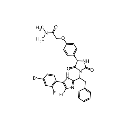 CCc1nc(C(Cc2ccccc2)N2C(=O)N[C@H](c3ccc(OCC(=O)N(C)C)cc3)C2=O)[nH]c1-c1ccc(Br)cc1F